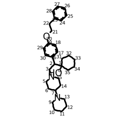 OC1(C(CN2CCC(N3CCCCC3)CC2)c2ccc(OCCc3ccccc3)cc2)CCCCC1